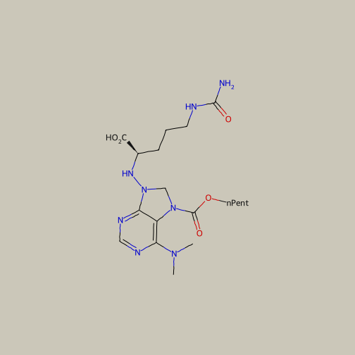 CCCCCOC(=O)N1CN(N[C@H](CCCNC(N)=O)C(=O)O)c2ncnc(N(C)C)c21